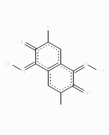 N=c1c(Br)cc2c(=N/S)/c(=N)c(Br)cc=2/c1=N/S